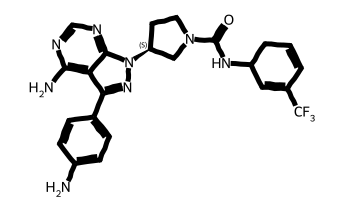 Nc1ccc(-c2nn([C@H]3CCN(C(=O)NC4C=C(C(F)(F)F)C=CC4)C3)c3ncnc(N)c23)cc1